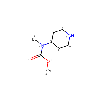 CCCOC(=O)N(CC)C1CCNCC1